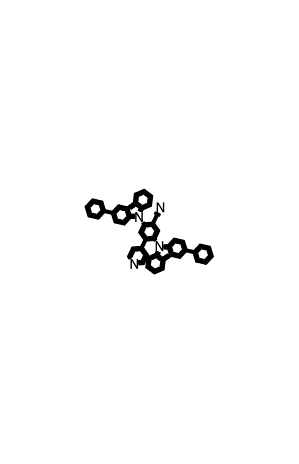 N#Cc1cc(-n2c3ccccc3c3cc(-c4ccccc4)ccc32)c(-c2ccncc2)cc1-n1c2ccccc2c2cc(-c3ccccc3)ccc21